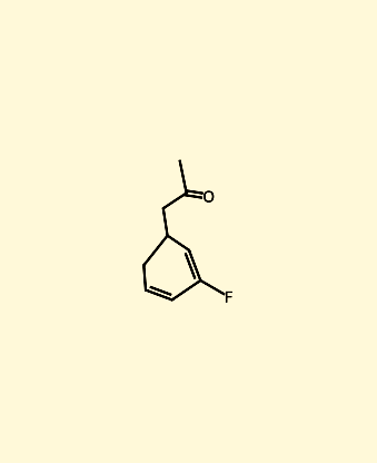 CC(=O)CC1C=C(F)C=CC1